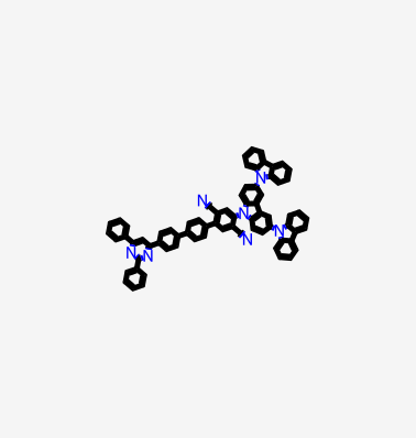 N#Cc1cc(-n2c3ccc(-n4c5ccccc5c5ccccc54)cc3c3cc(-n4c5ccccc5c5ccccc54)ccc32)c(C#N)cc1-c1ccc(-c2ccc(-c3cc(-c4ccccc4)nc(-c4ccccc4)n3)cc2)cc1